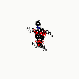 COCOc1ccc(C2OCC(C)(C)CO2)cc1C(O)(c1cccc(N(Cc2ccccc2)Cc2ccccc2)c1)c1cc(C2OCC(C)(C)CO2)ccc1OCOC